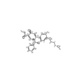 COCCCOc1cc2c(cc1C)-c1cc(=O)c(C(=O)OC)cn1[C@H](c1ccccc1)O2